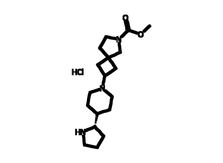 COC(=O)N1CCC2(CC(N3CCC([C@@H]4CCCN4)CC3)C2)C1.Cl